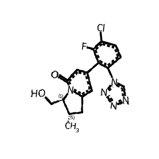 C[C@H]1Cc2cc(-c3c(-n4cnnn4)ccc(Cl)c3F)cc(=O)n2[C@@H]1CO